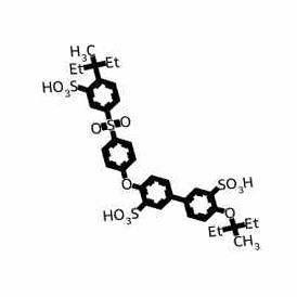 CCC(C)(CC)Oc1ccc(-c2ccc(Oc3ccc(S(=O)(=O)c4ccc(C(C)(CC)CC)c(S(=O)(=O)O)c4)cc3)c(S(=O)(=O)O)c2)cc1S(=O)(=O)O